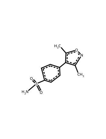 Cc1noc(C)c1-c1ccc(S(N)(=O)=O)cc1